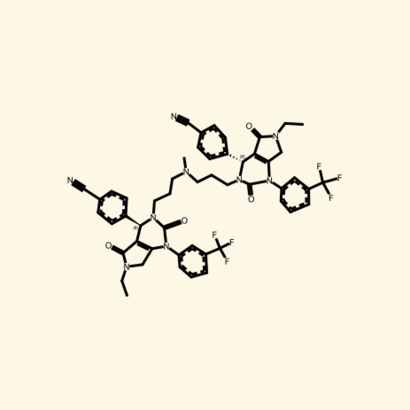 CCN1CC2=C(C1=O)[C@@H](c1ccc(C#N)cc1)N(CCCN(C)CCCN1C(=O)N(c3cccc(C(F)(F)F)c3)C3=C(C(=O)N(CC)C3)[C@H]1c1ccc(C#N)cc1)C(=O)N2c1cccc(C(F)(F)F)c1